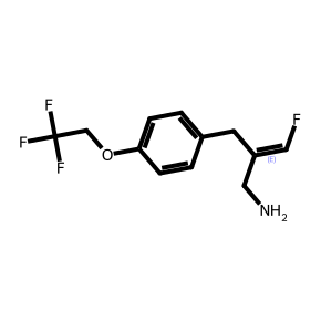 NC/C(=C/F)Cc1ccc(OCC(F)(F)F)cc1